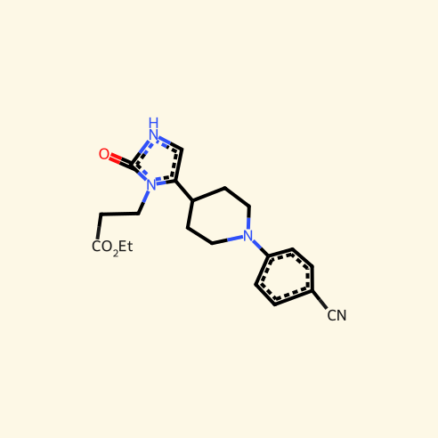 CCOC(=O)CCn1c(C2CCN(c3ccc(C#N)cc3)CC2)c[nH]c1=O